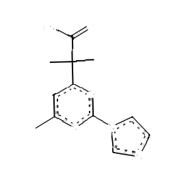 Cc1cc(C(C)(C)C(N)=O)nc(-n2ccnc2)n1